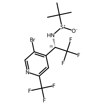 CC(C)(C)[S+]([O-])N[C@@H](c1cc(C(F)(F)F)ncc1Br)C(F)(F)F